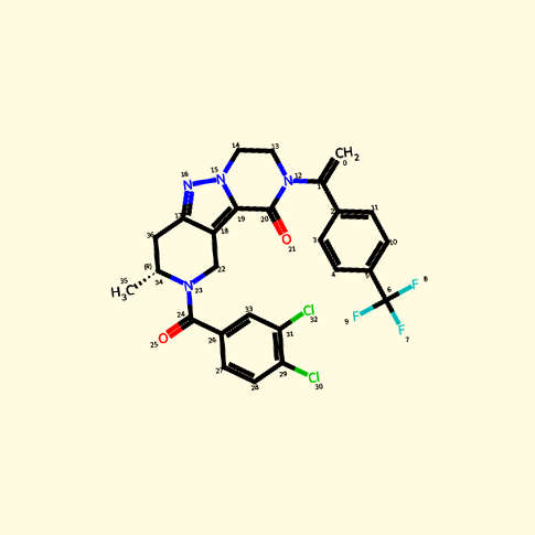 C=C(c1ccc(C(F)(F)F)cc1)N1CCn2nc3c(c2C1=O)CN(C(=O)c1ccc(Cl)c(Cl)c1)[C@H](C)C3